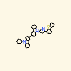 c1ccc(-n2c3ccccc3c3cc(-c4ccc5c(c4)c4ccccc4n5-c4ccc(-c5cccc6c5sc5ccccc56)nc4)ccc32)cc1